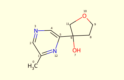 Cc1cncc(C2(O)CCOC2)n1